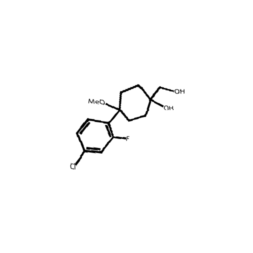 COC1(c2ccc(Cl)cc2F)CCC(O)(CO)CC1